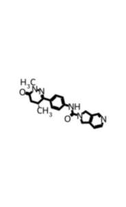 C[C@@H]1CC(=O)N(C)N=C1c1ccc(NC(=O)N2Cc3ccncc3C2)cc1